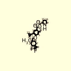 CC1(COc2cc(F)c(C(=O)OC(=O)[C@@H]3CCCN3)cc2C2CC2)CCC2(CC1)CC2(F)F